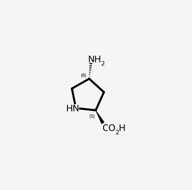 N[C@H]1CN[C@H](C(=O)O)C1